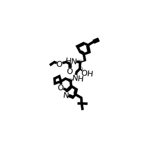 C#Cc1cccc(C[C@H](NC(=O)COCC)[C@@H](O)CN[C@H]2CC3(CCC3)Oc3ncc(CC(C)(C)C)cc32)c1